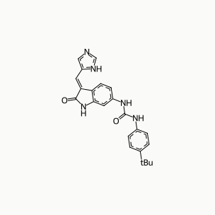 CC(C)(C)c1ccc(NC(=O)Nc2ccc3c(c2)NC(=O)C3=Cc2cnc[nH]2)cc1